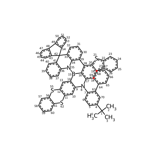 CC(C)(C)c1ccc(N2c3cc4c(cc3B3c5c2cc2c(sc6ccccc62)c5-c2cccc5c2N3c2ccccc2C52c3ccccc3-c3ccccc32)Sc2ccccc2S4)c(-c2ccccc2)c1